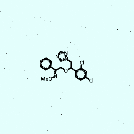 CON=C(COC(Cn1cncn1)c1ccc(Cl)cc1Cl)c1ccccc1